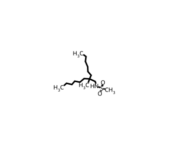 CCCCCCC(C)(CCCCCC)CNS(C)(=O)=O